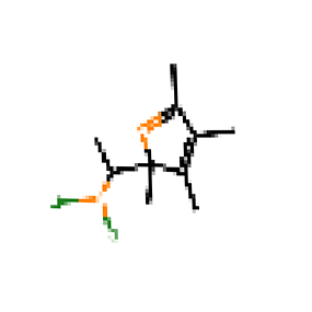 CC1=PC(C)(C(C)P(Cl)Cl)C(C)=C1C